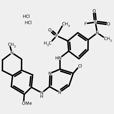 COc1cc2c(cc1Nc1ncc(Cl)c(Nc3ccc(N(C)S(=O)(=O)F)cc3P(C)(C)=O)n1)CN(C)CC2.Cl.Cl